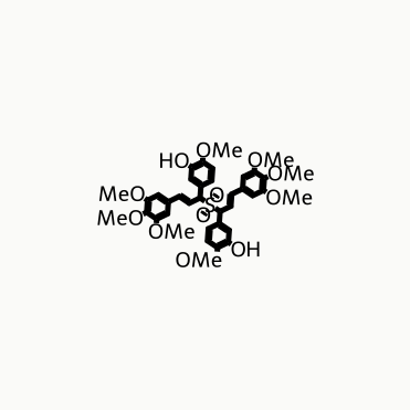 COc1ccc(C(/C=C/c2cc(OC)c(OC)c(OC)c2)S(=O)(=O)C(/C=C/c2cc(OC)c(OC)c(OC)c2)c2ccc(OC)c(O)c2)cc1O